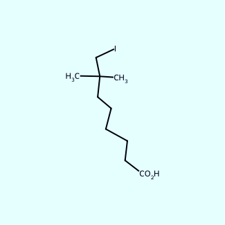 CC(C)(CI)CCCCCC(=O)O